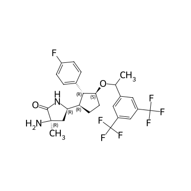 CC(O[C@H]1CC[C@@H]([C@H]2C[C@@](C)(N)C(=O)N2)[C@@H]1c1ccc(F)cc1)c1cc(C(F)(F)F)cc(C(F)(F)F)c1